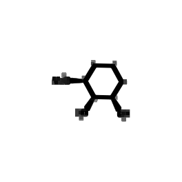 CO[C@H]1CCC[C@@H](O)[C@H]1O